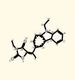 CCN1C(=O)O/C(=C(\C)c2ccc3c(c2)C2C=CC=CC2N3CC)C1=O